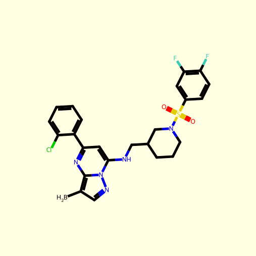 Bc1cnn2c(NCC3CCCN(S(=O)(=O)c4ccc(F)c(F)c4)C3)cc(-c3ccccc3Cl)nc12